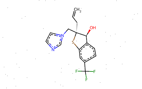 C=CC[C@@]1(Cn2ccnc2)Sc2cc(C(F)(F)F)ccc2[C@@H]1O